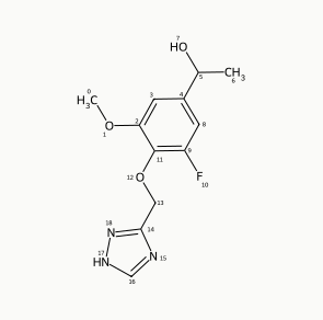 COc1cc(C(C)O)cc(F)c1OCc1nc[nH]n1